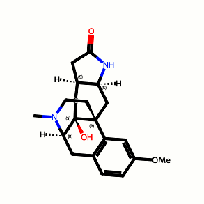 COc1ccc2c(c1)[C@]13CCN(C)[C@H](C2)[C@]1(O)C[C@H]1CC(=O)N[C@H]1C3